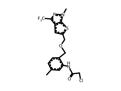 Cc1ccc(COCc2cc3c(C(F)(F)F)nn(C)c3s2)c(NC(=O)CCl)c1